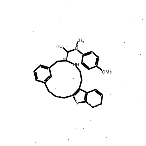 COc1ccc(N(C)C(O)[C@@H]2Cc3cccc(c3)CCCc3[nH]c4c(c3CCN2)C=CCC4)cc1